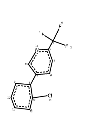 FC(F)(F)c1ccc(-c2ccc[c]c2Cl)cn1